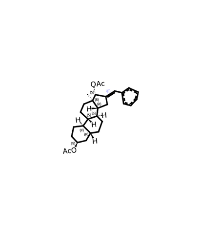 CC(=O)O[C@H]1CC[C@@H]2[C@H](CC[C@H]3[C@H]2CC[C@@]2(C)[C@H](OC(C)=O)/C(=C/c4ccccc4)C[C@H]32)C1